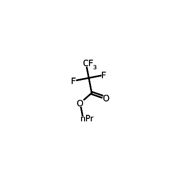 CCCOC(=O)C(F)(F)C(F)(F)F